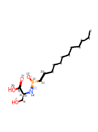 CCCCCCCCCCCC/[P+]([O-])=N/[C@@H](CO)C(=O)O